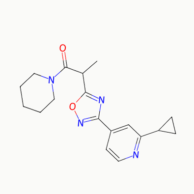 CC(C(=O)N1CCCCC1)c1nc(-c2ccnc(C3CC3)c2)no1